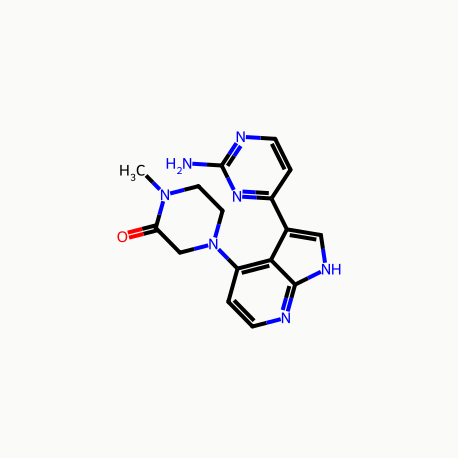 CN1CCN(c2ccnc3[nH]cc(-c4ccnc(N)n4)c23)CC1=O